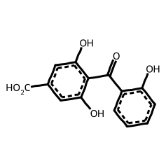 O=C(O)c1cc(O)c(C(=O)c2ccccc2O)c(O)c1